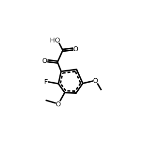 COc1cc(OC)c(F)c(C(=O)C(=O)O)c1